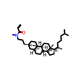 C=CC(=O)N(C)CCC[C@H]1CC[C@@]2(C)[C@@H](CC[C@@H]3[C@@H]2CC[C@]2(C)[C@@H]([C@H](C)CCCC(C)C)CC[C@@H]32)C1